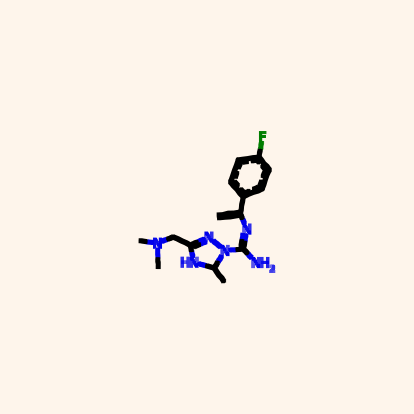 C=C(/N=C(/N)N1N=C(CN(C)C)NC1C)c1ccc(F)cc1